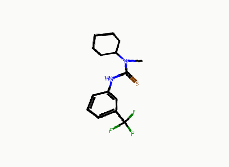 CN(C(=S)Nc1cccc(C(F)(F)F)c1)C1CCCCC1